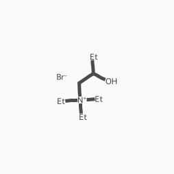 CCC(O)C[N+](CC)(CC)CC.[Br-]